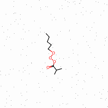 CCCCCOOOC(=O)C(C)C